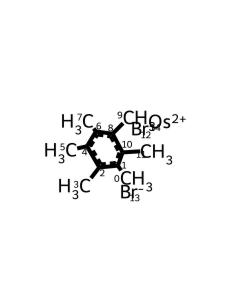 Cc1c(C)c(C)c(C)c(C)c1C.[Br-].[Br-].[Os+2]